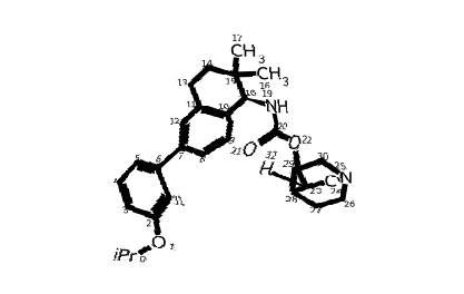 CC(C)Oc1cccc(-c2ccc3c(c2)CCC(C)(C)[C@H]3NC(=O)O[C@@H]2CN3CCC2CC3)c1